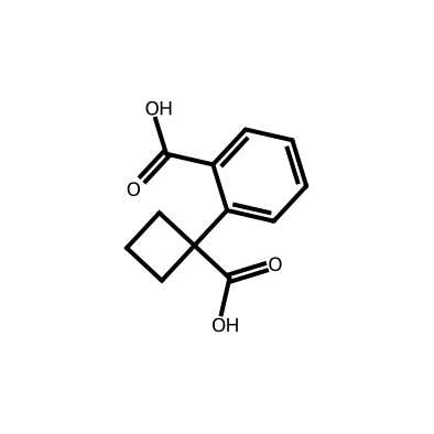 O=C(O)c1ccccc1C1(C(=O)O)CCC1